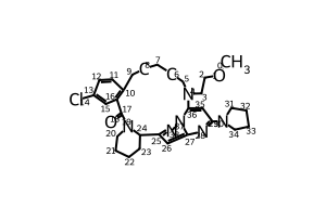 COCCN1CCCCCc2ccc(Cl)cc2C(=O)N2CCCCC2c2cc3nc(N4CCCC4)cc1n3n2